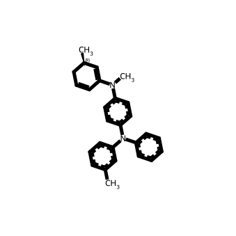 Cc1cccc(N(c2ccccc2)c2ccc(N(C)C3=C[C@H](C)CC=C3)cc2)c1